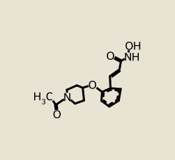 CC(=O)N1CCC(Oc2ccccc2/C=C/C(=O)NO)CC1